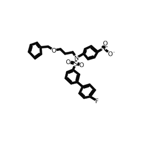 O=[N+]([O-])c1ccc(N(CCCOCc2ccccc2)S(=O)(=O)c2cccc(-c3ccc(F)cc3)c2)cc1